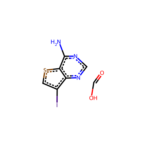 Nc1ncnc2c(I)csc12.O=CO